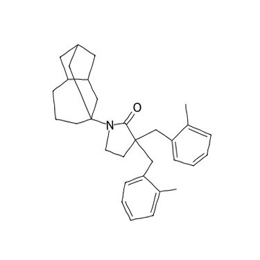 Cc1ccccc1CC1(Cc2ccccc2C)CCN(C23CCCC4CC(CC4C2)C3)C1=O